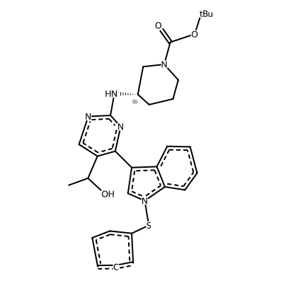 CC(O)c1cnc(N[C@H]2CCCN(C(=O)OC(C)(C)C)C2)nc1-c1cn(Sc2ccccc2)c2ccccc12